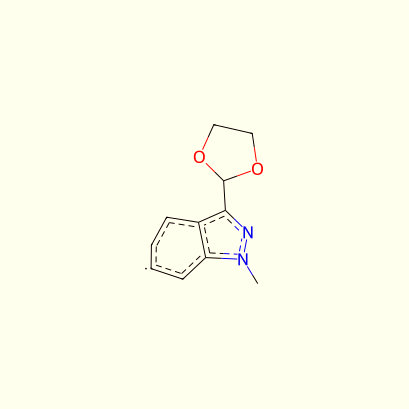 Cn1nc(C2OCCO2)c2cc[c]cc21